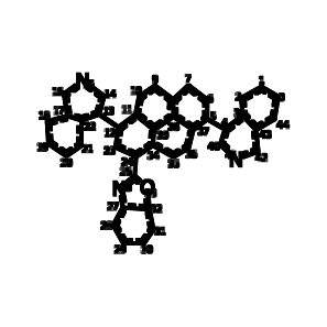 c1ccc2c(-c3ccc4ccc5c(-c6cncc7ccccc67)cc(-c6nc7ccccc7o6)c6ccc3c4c65)cncc2c1